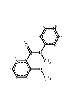 COc1cccnc1C(=O)N(C)c1ccncc1